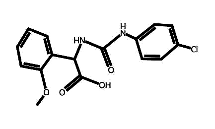 COc1ccccc1C(NC(=O)Nc1ccc(Cl)cc1)C(=O)O